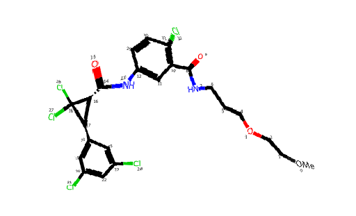 COCCOCCCNC(=O)c1cc(NC(=O)[C@@H]2[C@@H](c3cc(Cl)cc(Cl)c3)C2(Cl)Cl)ccc1Cl